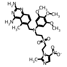 COc1cc(N(CCS(=O)(=O)CCn2c([N+](=O)[O-])cnc2C)Cc2ccc3nc(N)nc(N)c3c2C)cc(OC)c1OC